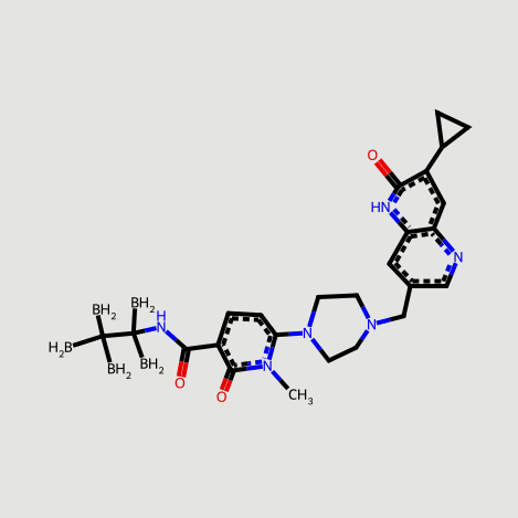 BC(B)(B)C(B)(B)NC(=O)c1ccc(N2CCN(Cc3cnc4cc(C5CC5)c(=O)[nH]c4c3)CC2)n(C)c1=O